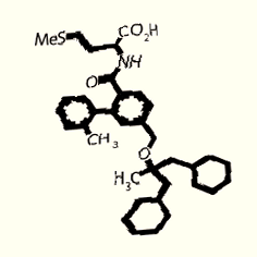 CSCC[C@H](NC(=O)c1ccc(COC(C)(CC2CCCCC2)CC2CCCCC2)cc1-c1ccccc1C)C(=O)O